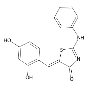 O=C1N=C(Nc2ccccc2)SC1=Cc1ccc(O)cc1O